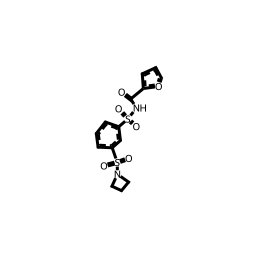 O=C(NS(=O)(=O)c1cccc(S(=O)(=O)N2CCC2)c1)c1ccco1